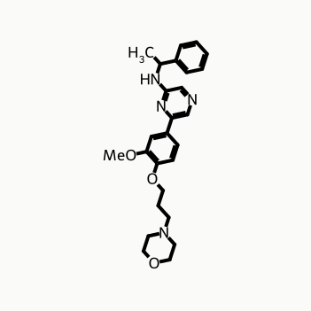 COc1cc(-c2cncc(NC(C)c3ccccc3)n2)ccc1OCCCN1CCOCC1